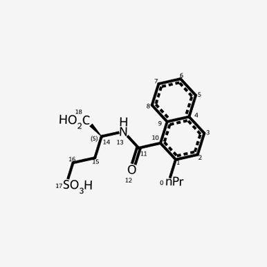 CCCc1ccc2ccccc2c1C(=O)N[C@@H](CCS(=O)(=O)O)C(=O)O